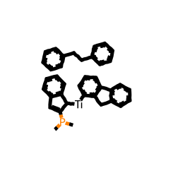 CP(C)C1=Cc2ccccc2[CH]1[Ti][c]1cccc2c1Cc1ccccc1-2.c1ccc(CCc2ccccc2)cc1